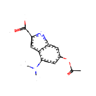 CC(=O)Oc1cc(N(C)C)c2cc(C(=O)O)[nH]c2c1